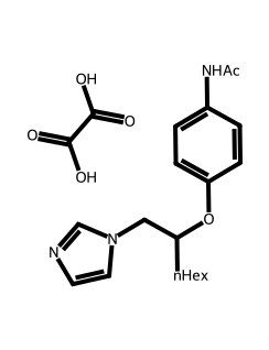 CCCCCCC(Cn1ccnc1)Oc1ccc(NC(C)=O)cc1.O=C(O)C(=O)O